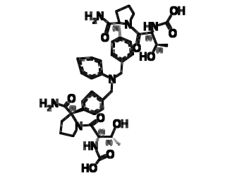 C[C@@H](O)[C@H](NC(=O)O)C(=O)N1CCC[C@@]1(C(N)=O)c1ccc(CN(Cc2ccc([C@]3(C(N)=O)CCCN3C(=O)[C@@H](NC(=O)O)[C@@H](C)O)cc2)c2ccccc2)cc1